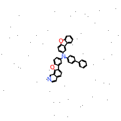 c1ccc(-c2ccc(N(c3ccc4oc5ccccc5c4c3)c3ccc4oc5c6cnccc6ccc5c4c3)cc2)cc1